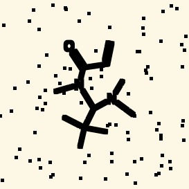 C=CC(=O)N(C)C(N(C)C)C(C)(C)C